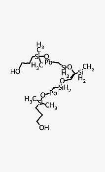 C[SiH2]C(=CO[SiH2][CH2][Po][O][Si](C)(C)CCCO)O[SiH2][CH2][Po][O][Si](C)(C)CCCO